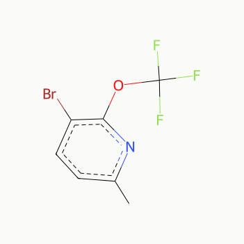 Cc1ccc(Br)c(OC(F)(F)F)n1